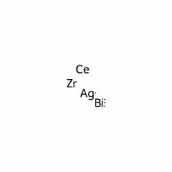 [Ag].[Bi].[Ce].[Zr]